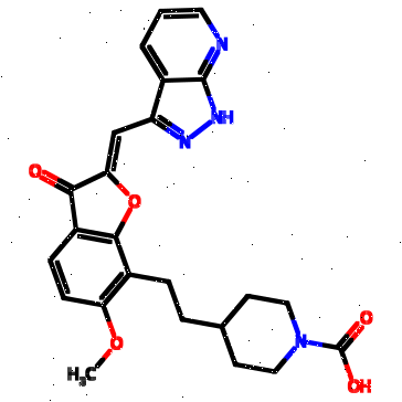 COc1ccc2c(c1CCC1CCN(C(=O)O)CC1)OC(=Cc1n[nH]c3ncccc13)C2=O